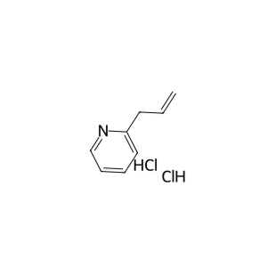 C=CCc1ccccn1.Cl.Cl